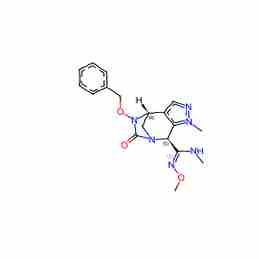 CN/C(=N\OC)[C@@H]1c2c(cnn2C)[C@@H]2CN1C(=O)N2OCc1ccccc1